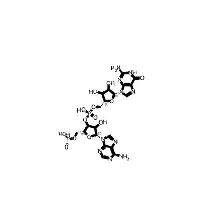 Nc1nc2c(ncn2[C@@H]2O[C@H](COP(=O)(O)OC3C(O)[C@H](n4cnc5c(N)ncnc54)O[C@@H]3CO[PH](=O)O)C(O)C2O)c(=O)[nH]1